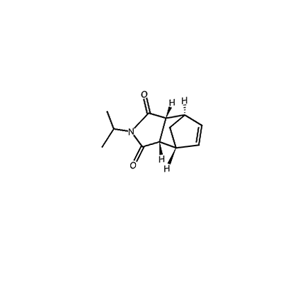 CC(C)N1C(=O)[C@@H]2[C@H](C1=O)[C@H]1C=C[C@H]2C1